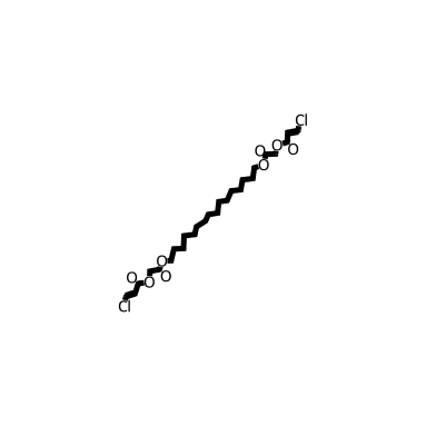 O=C(C=CCl)OCC(=O)OCCCCCCCCCCCCCCCCOC(=O)COC(=O)C=CCl